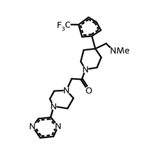 CNCC1(c2cccc(C(F)(F)F)c2)CCN(C(=O)CN2CCN(c3cnccn3)CC2)CC1